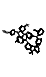 Cc1cc2c3c(c1)N(c1ccc4c(c1)-c1ccccc1C4(C)C)c1cc(N(c4ccccc4)c4ccccc4C)ccc1B3c1cc(C(C)(C)C)ccc1N2c1ccc(C(C)(C)C)cc1